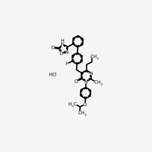 CCCc1nc(C)n(-c2ccc(OC(C)C)cc2)c(=O)c1Cc1ccc(-c2ccccc2-c2noc(=O)[nH]2)cc1F.Cl